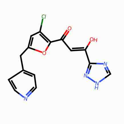 O=C(C=C(O)c1nc[nH]n1)c1oc(Cc2ccncc2)cc1Cl